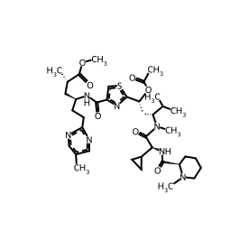 COC(=O)[C@@H](C)C[C@H](CCc1ncc(C)cn1)NC(=O)c1csc([C@@H](C[C@H](C(C)C)N(C)C(=O)[C@@H](NC(=O)[C@H]2CCCCN2C)C2CC2)OC(C)=O)n1